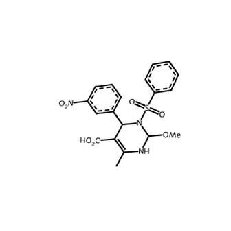 COC1NC(C)=C(C(=O)O)C(c2cccc([N+](=O)[O-])c2)N1S(=O)(=O)c1ccccc1